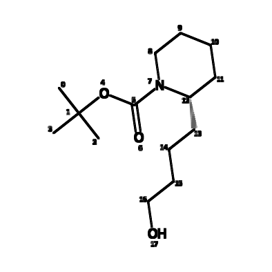 CC(C)(C)OC(=O)N1CCCC[C@@H]1CCCCO